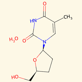 Cc1cn([C@H]2CC[C@@H](CO)O2)c(=O)[nH]c1=O.O